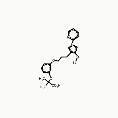 CCOc1nn(-c2ccccn2)cc1CCCOc1cccc(OC(C)(C)C(=O)O)c1